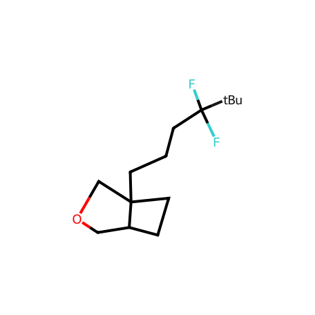 CC(C)(C)C(F)(F)CCCC12CCC1COC2